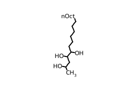 CCCCCCCCCCCCCCC(O)C(O)CC(C)O